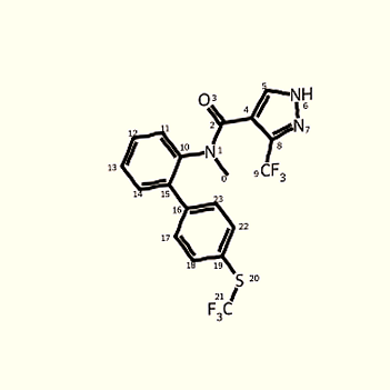 CN(C(=O)c1c[nH]nc1C(F)(F)F)c1ccccc1-c1ccc(SC(F)(F)F)cc1